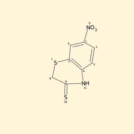 O=[N+]([O-])c1ccc2c(c1)SCC(=S)N2